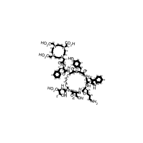 C[C@@H](O)C(NC(=O)[C@@H]1CSSC[C@H](NC(=O)[C@@H](Cc2ccccc2)NC(=O)CN2CCN(CC(=O)O)CCN(CC(=O)O)CCN(CC(=O)O)CC2)C(=O)N[C@@H](Cc2ccc(O)cc2)C(=O)N[C@H](Cc2c[nH]c3ccccc23)C(=O)N[C@@H](CCCCN)C(=O)NC([C@@H](C)O)C(=O)N1)C(=O)O